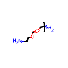 CC(C)(N)COCOCCN